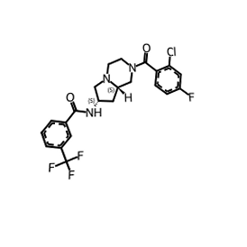 O=C(N[C@H]1C[C@H]2CN(C(=O)c3ccc(F)cc3Cl)CCN2C1)c1cccc(C(F)(F)F)c1